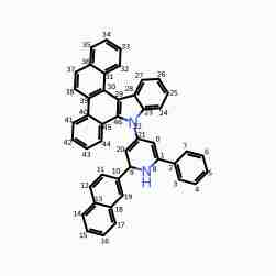 C1=C(c2ccccc2)NC(c2ccc3ccccc3c2)C=C1n1c2ccccc2c2c3c4ccccc4ccc3c3ccccc3c21